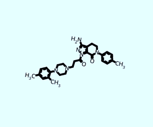 Cc1ccc(N2CCc3c(N)nn(C(=O)CCN4CCN(c5ccc(C)cc5C)CC4)c3C2=O)cc1